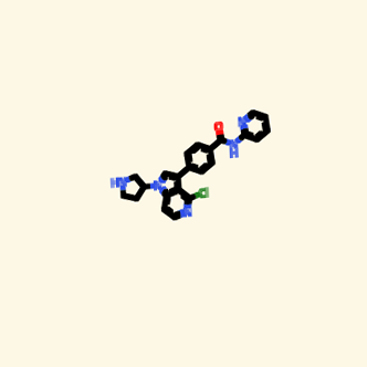 O=C(Nc1ccccn1)c1ccc(-c2cn(C3CCNC3)c3ccnc(Cl)c23)cc1